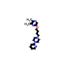 Cc1ncc(OCCCCN2CCN(c3ccccn3)CC2)nc1C